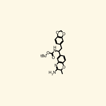 CC1Oc2ccc(C(Cc3ccc4c(c3)OCO4)NC(=O)OC(C)(C)C)cc2N=C1N